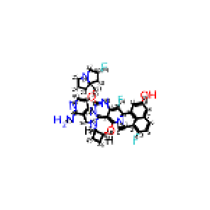 C#Cc1c(F)ccc2cc(O)cc(-c3nc4c5c(nc(OC[C@@]67CCCN6C[C@H](F)C7)nc5c3F)N(Cc3cccnc3N)[C@@H]3CC[C@@H]3O4)c12